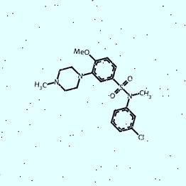 COc1ccc(S(=O)(=O)N(C)c2cccc(Cl)c2)cc1N1CCN(C)CC1